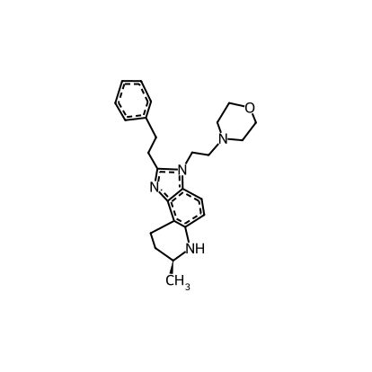 C[C@H]1CCc2c(ccc3c2nc(CCc2ccccc2)n3CCN2CCOCC2)N1